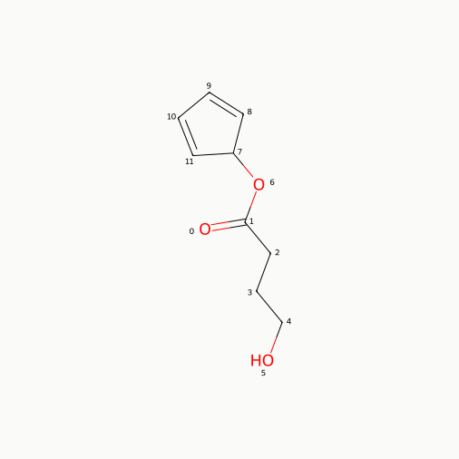 O=C(CCCO)OC1C=CC=C1